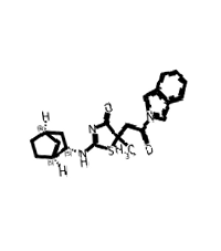 CC1(CC(=O)n2cc3ccccc3c2)SC(N[C@H]2C[C@@H]3CC[C@H]2C3)=NC1=O